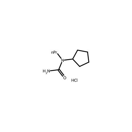 CCCN(C(N)=O)C1CCCC1.Cl